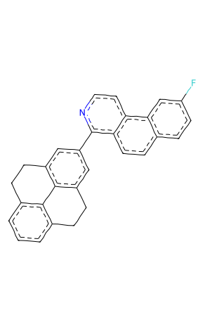 Fc1ccc2ccc3c(-c4cc5c6c(c4)CCc4cccc(c4-6)CC5)nccc3c2c1